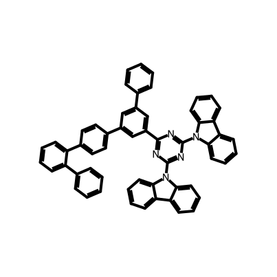 c1ccc(-c2cc(-c3ccc(-c4ccccc4-c4ccccc4)cc3)cc(-c3nc(-n4c5ccccc5c5ccccc54)nc(-n4c5ccccc5c5ccccc54)n3)c2)cc1